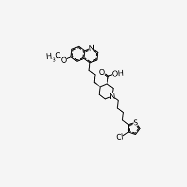 COc1ccc2nccc(CCC[C@@H]3CCN(CCCCc4sccc4Cl)C[C@@H]3C(=O)O)c2c1